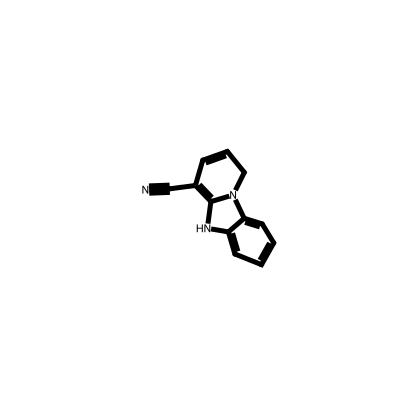 N#CC1=C2Nc3ccccc3N2CC=C1